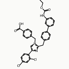 CCOC(=O)Nc1cccc(-c2ccc(Cc3nc(-c4ccc(Cl)cc4Cl)cn3Cc3ccc(C(=O)O)cc3)cc2)c1